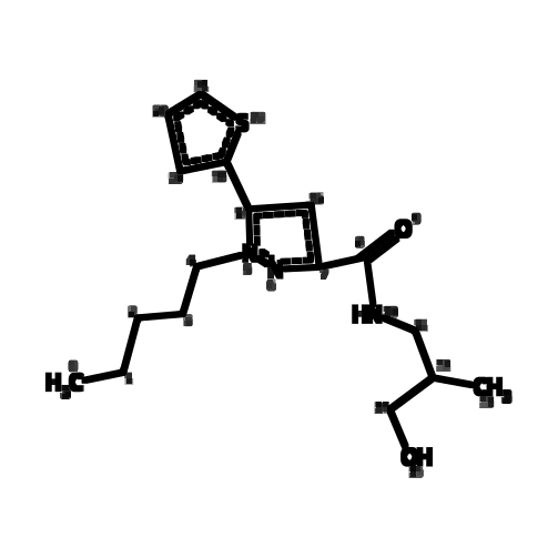 CCCCCn1nc(C(=O)NCC(C)CO)cc1-c1cccs1